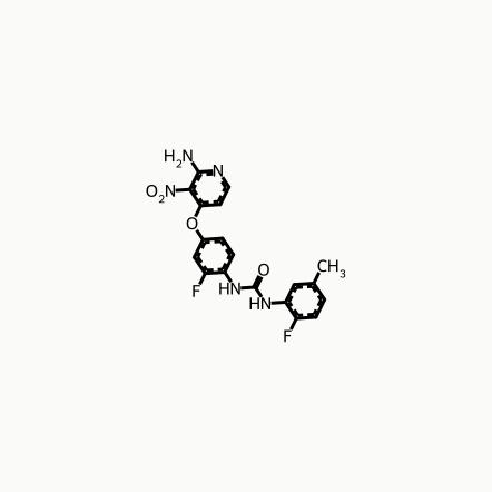 Cc1ccc(F)c(NC(=O)Nc2ccc(Oc3ccnc(N)c3[N+](=O)[O-])cc2F)c1